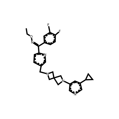 CCON=C(c1ccc(F)c(F)c1)c1ccc(CN2CC3(C2)CN(c2cncc(C4CC4)c2)C3)cn1